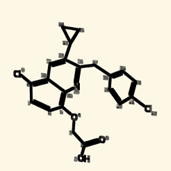 O=C(O)COc1ccc(Cl)c2cc(C3CC3)c(Cc3ccc(Cl)cc3)nc12